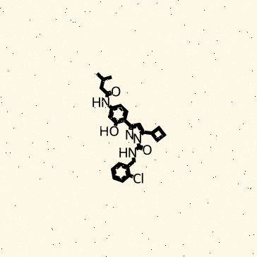 CC(C)CC(=O)Nc1ccc(-c2cc(C3CCC3)n(C(=O)NCc3ccccc3Cl)n2)c(O)c1